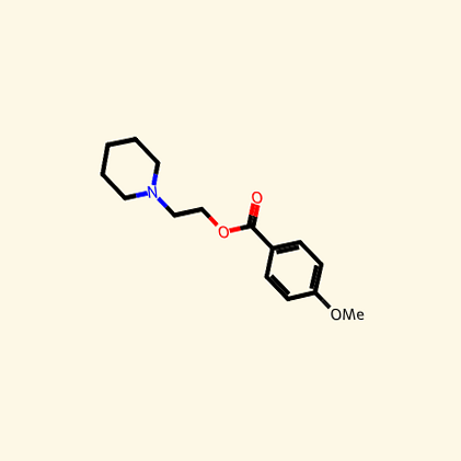 COc1ccc(C(=O)OCCN2CCCCC2)cc1